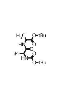 CC(NC(=O)[C@@H](NC(=O)OC(C)(C)C)C(C)C)C(=O)OC(C)(C)C